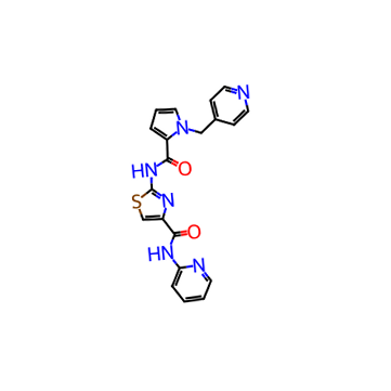 O=C(Nc1ccccn1)c1csc(NC(=O)c2cccn2Cc2ccncc2)n1